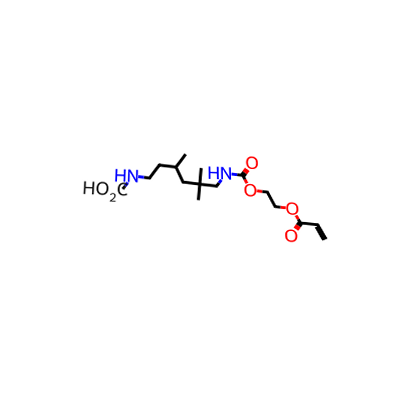 C=CC(=O)OCCOC(=O)NCC(C)(C)CC(C)CCNC(=O)O